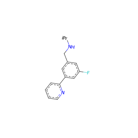 CC(C)NCc1cc(F)cc(-c2ccccn2)c1